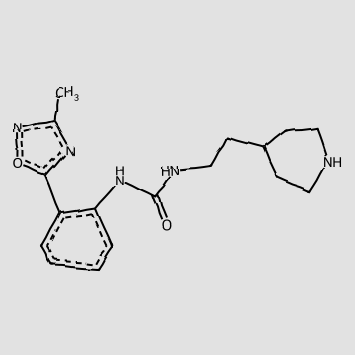 Cc1noc(-c2ccccc2NC(=O)NCCC2CCNCC2)n1